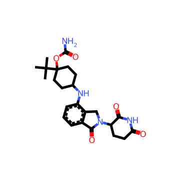 CC(C)(C)C1(OC(N)=O)CCC(Nc2cccc3c2CN(C2CCC(=O)NC2=O)C3=O)CC1